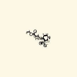 CCOC(=O)CCNc1ccncc1[N+](=O)[O-]